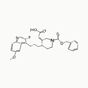 COc1ccc2ncc(F)c(CCCC3CCN(C(=O)OCc4ccccc4)CC3=CC(=O)O)c2c1